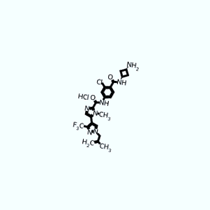 C=C(C)Cn1cc(-c2cnc(C(=O)Nc3ccc(C(=O)N[C@H]4C[C@@H](N)C4)c(Cl)c3)n2C)c(C(F)(F)F)n1.Cl